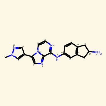 Cn1cc(-c2cnc3c(Nc4ccc5c(c4)CC(N)C5)nccn23)cn1